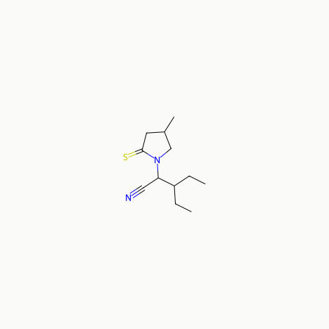 CCC(CC)C(C#N)N1CC(C)CC1=S